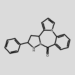 O=C1c2ccccc2-n2cccc2C2CC(c3ccccc3)NN12